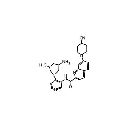 CC1CC(N)CN(c2ccncc2NC(=O)c2ccc3ccc(N4CCC(C#N)CC4)cc3n2)C1